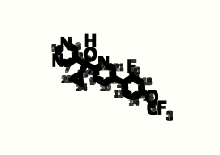 OC(c1cncnc1)(c1ccc(-c2ccc(OC(F)(F)F)cc2F)cn1)C1CC1